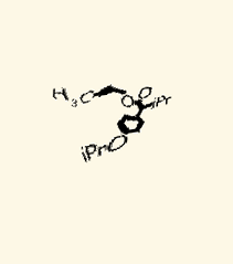 CC#CCOC(=O)C(c1ccc(OC(C)C)cc1)C(C)C